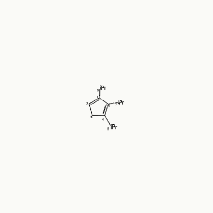 CC(C)C1=[C]CC(C(C)C)=C1C(C)C